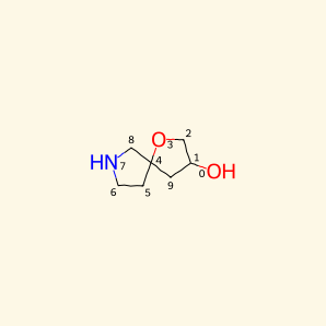 OC1COC2(CCNC2)C1